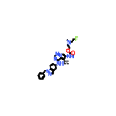 CCc1c(NC(=O)OCCN(C)CCF)cn2ncnc(Nc3ccc4c(cnn4Cc4ccccc4)c3)c12